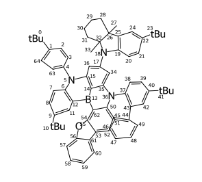 CC(C)(C)c1ccc(N2c3ccc(C(C)(C)C)cc3B3c4c2cc(N2c5ccc(C(C)(C)C)cc5C5(C)CCCCC25C)cc4N(c2ccc(C(C)(C)C)cc2-c2ccccc2)c2ccc4c(oc5ccccc54)c23)cc1